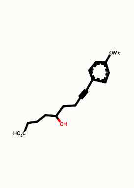 COc1ccc(C#CCCC(O)CCCC(=O)O)cc1